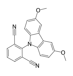 COc1ccc2c(c1)c1cc(OC)ccc1n2-c1c(C#N)cccc1C#N